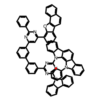 c1ccc(-c2nc(-c3cccc(-c4cccc(-c5nc(-n6c7ccccc7c7ccccc76)nc(-n6c7ccccc7c7ccc8c9ccccc9n(-c9ccccc9)c8c76)n5)c4)c3)cc(-c3cccc4c3oc3c5ccccc5ccc43)n2)cc1